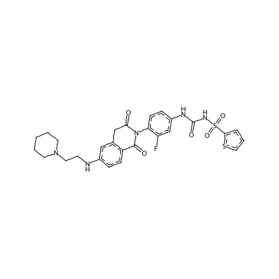 O=C(Nc1ccc(N2C(=O)Cc3cc(NCCN4CCCCC4)ccc3C2=O)c(F)c1)NS(=O)(=O)c1cccs1